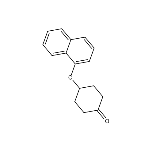 O=C1CCC(Oc2cccc3ccccc23)CC1